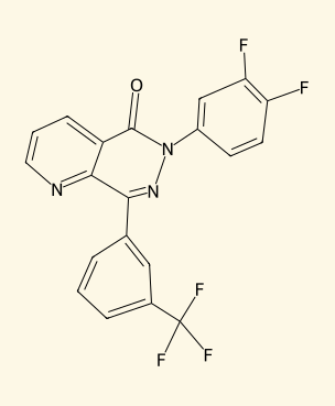 O=c1c2cccnc2c(-c2cccc(C(F)(F)F)c2)nn1-c1ccc(F)c(F)c1